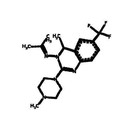 CC(C)=NN1C(N2CCN(C)CC2)=Nc2ccc(C(F)(F)F)cc2C1C